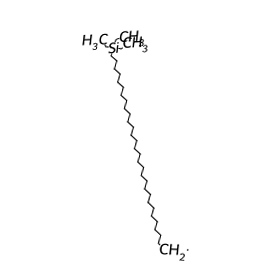 [CH2]CCCCCCCCCCCCCCCCCCCCCCCCCCCCC[Si](CC)(CC)CC